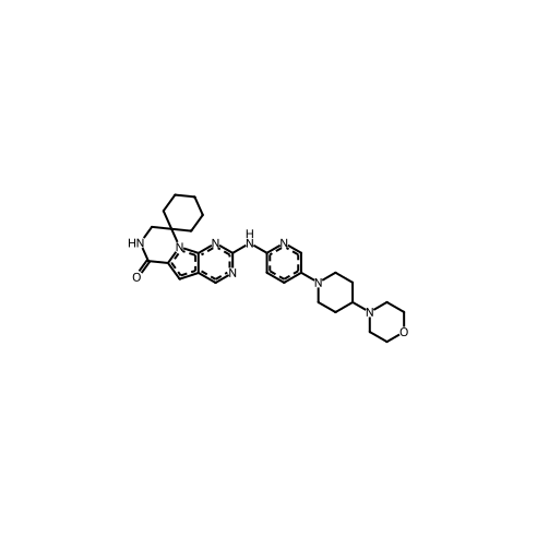 O=C1NCC2(CCCCC2)n2c1cc1cnc(Nc3ccc(N4CCC(N5CCOCC5)CC4)cn3)nc12